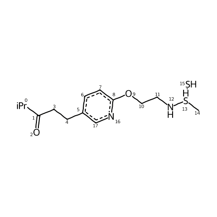 CC(C)C(=O)CCc1ccc(OCCN[SH](C)S)nc1